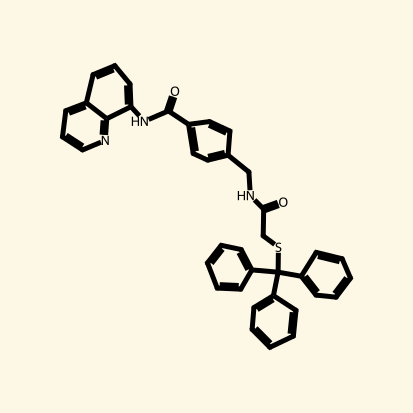 O=C(CSC(c1ccccc1)(c1ccccc1)c1ccccc1)NCc1ccc(C(=O)Nc2cccc3cccnc23)cc1